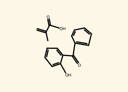 C=C(C)C(=O)O.O=C(c1ccccc1)c1ccccc1O